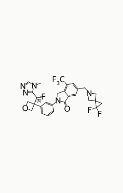 Cn1cnnc1[C@@H](F)C1(c2cccc(N3Cc4c(cc(CN5CC6(C5)CC6(F)F)cc4C(F)(F)F)C3=O)c2)COC1